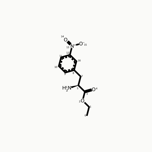 CCOC(=O)[C@@H](N)Cc1cccc([N+](=O)[O-])c1